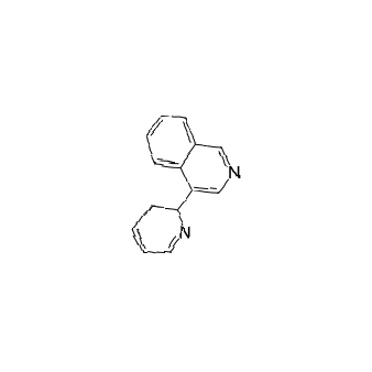 C1=CCC(c2cncc3ccccc23)N=C1